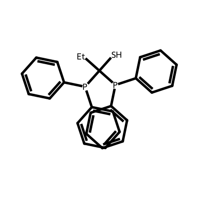 CCC(S)(P(c1ccccc1)c1ccccc1)P(c1ccccc1)c1ccccc1